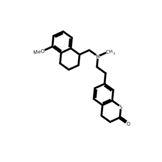 COc1cccc2c1CCCC2CN(C)CCc1ccc2c(c1)SC(=O)CC2